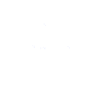 Cc1ccc(C(NCCc2ccncc2)C(=O)NCCc2ccncc2)cc1